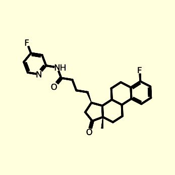 C[C@]12CCC3c4cccc(F)c4CCC3C1[C@H](CCCC(=O)Nc1cc(F)ccn1)CC2=O